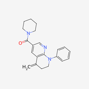 C=C1CCN(c2ccccc2)c2ncc(C(=O)N3CCCCC3)cc21